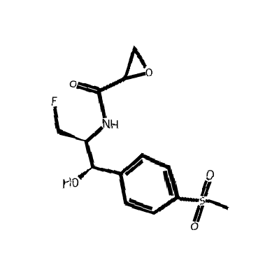 CS(=O)(=O)c1ccc([C@@H](O)[C@@H](CF)NC(=O)C2CO2)cc1